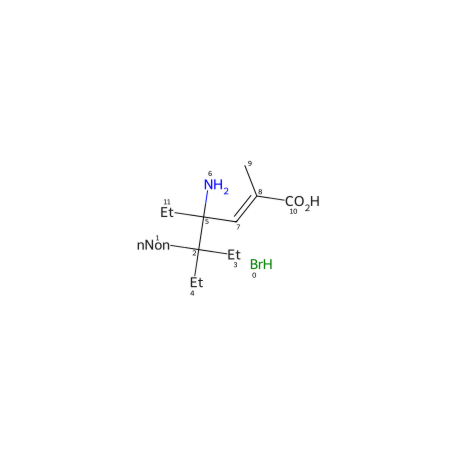 Br.CCCCCCCCCC(CC)(CC)C(N)(C=C(C)C(=O)O)CC